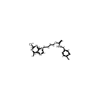 C=C(NCc1ccc(C)cc1)OCCCCn1cnc2c(C)nc(Cl)nc21